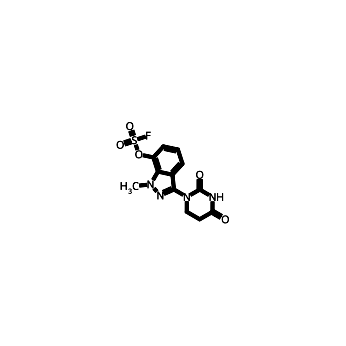 Cn1nc(N2CCC(=O)NC2=O)c2cccc(OS(=O)(=O)F)c21